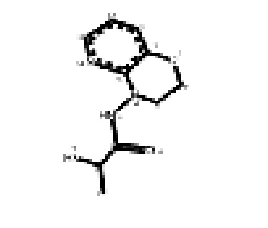 CC(S)C(=O)NN1CCOc2cccnc21